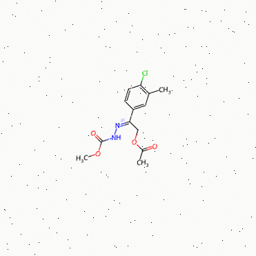 COC(=O)N/N=C(\COC(C)=O)c1ccc(Cl)c(C)c1